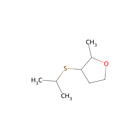 CC(C)SC1CCOC1C